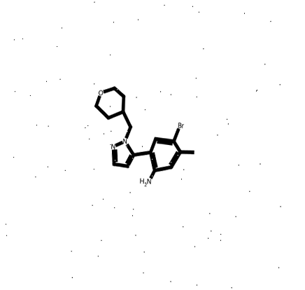 Cc1cc(N)c(-c2ccnn2CC2CCOCC2)cc1Br